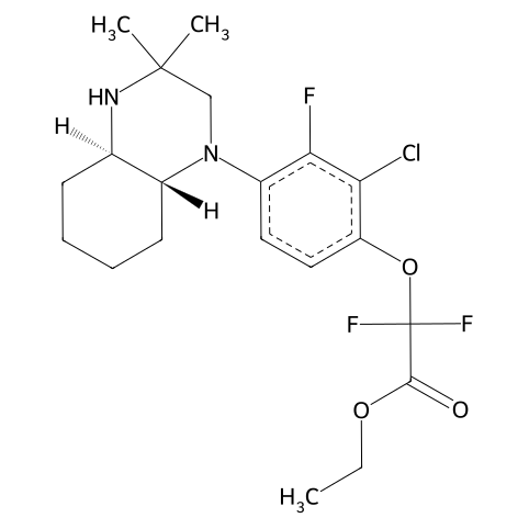 CCOC(=O)C(F)(F)Oc1ccc(N2CC(C)(C)N[C@@H]3CCCC[C@H]32)c(F)c1Cl